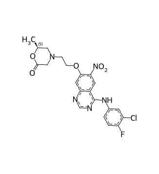 C[C@H]1CN(CCOc2cc3ncnc(Nc4ccc(F)c(Cl)c4)c3cc2[N+](=O)[O-])CC(=O)O1